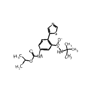 CC(C)OC(=O)Nc1ccc(-c2cncs2)c([S+]([O-])NC(C)(C)C)c1